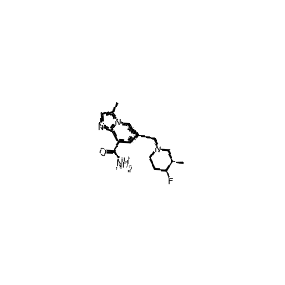 Cc1cnc2c(C(N)=O)cc(CN3CC[C@H](F)[C@H](C)C3)cn12